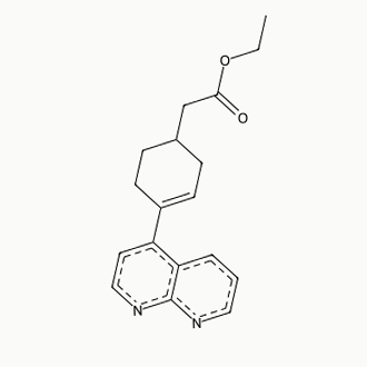 CCOC(=O)CC1CC=C(c2ccnc3ncccc23)CC1